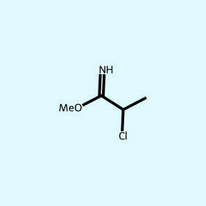 COC(=N)C(C)Cl